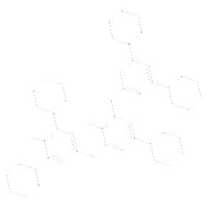 Oc1c(Cc2cc(C3CCCCC3)c(O)c(C3CCCCC3)c2)cc(C2CCCCC2)cc1Cc1cc(C2CCCCC2)c(O)c(C2CCCCC2)c1